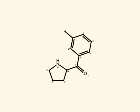 Cc1cccc(C(=O)C2CCCN2)c1